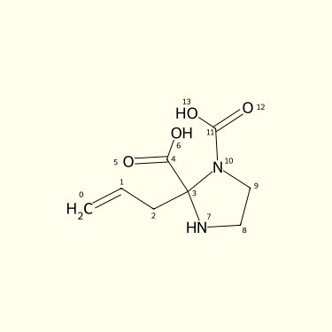 C=CCC1(C(=O)O)NCCN1C(=O)O